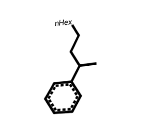 CCC[CH]CCCCC(C)c1ccccc1